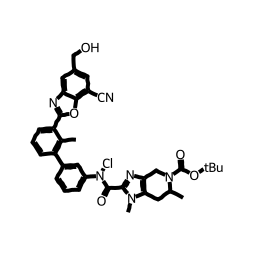 Cc1c(-c2cccc(N(Cl)C(=O)c3nc4c(n3C)CC(C)N(C(=O)OC(C)(C)C)C4)c2)cccc1-c1nc2cc(CO)cc(C#N)c2o1